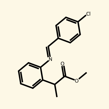 COC(=O)C(C)c1ccccc1N=Cc1ccc(Cl)cc1